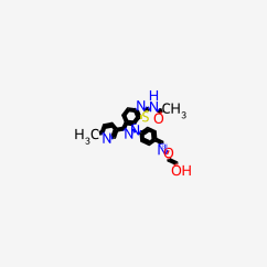 CC(=O)Nc1nc2c(s1)-c1c(c(-c3ccc(C)nc3)nn1-c1ccc(/C=N/OCCO)cc1)CC2